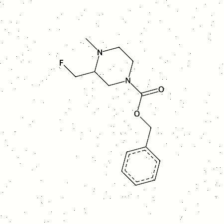 CN1CCN(C(=O)OCc2ccccc2)CC1CF